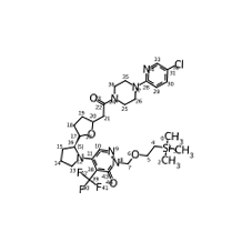 C[Si](C)(C)CCOCn1ncc(N2CCC[C@H]2C2CCC(CC(=O)N3CCN(c4ccc(Cl)cn4)CC3)O2)c(C(F)(F)F)c1=O